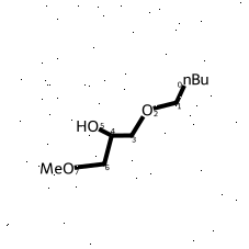 CCCCCOCC(O)COC